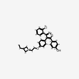 CCC1CN(CCOc2ccc(-c3c(-c4ccccc4Cl)noc3-c3ccc(O)cc3)cc2)C1